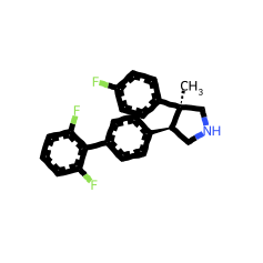 C[C@]1(c2ccc(F)cc2)CNC[C@H]1c1ccc(-c2c(F)cccc2F)cc1